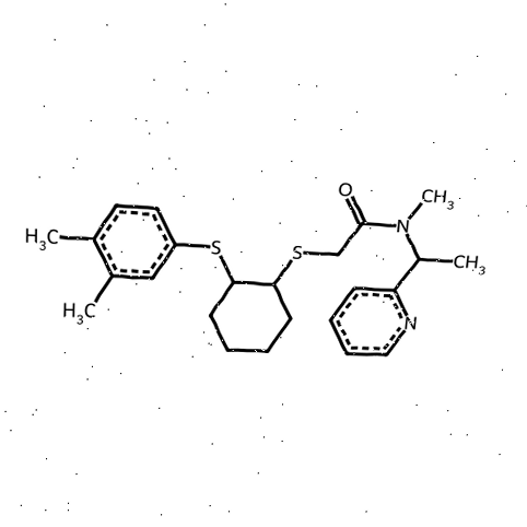 Cc1ccc(SC2CCCCC2SCC(=O)N(C)C(C)c2ccccn2)cc1C